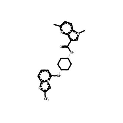 Cc1ccc2c(n1)c(C(=O)N[C@H]1CC[C@@H](Nc3cccc4nc(C(F)(F)F)cn34)CC1)cn2C